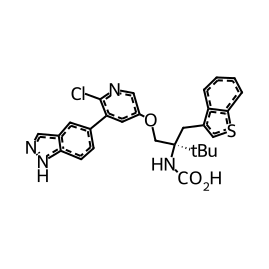 CC(C)(C)[C@](COc1cnc(Cl)c(-c2ccc3[nH]ncc3c2)c1)(Cc1csc2ccccc12)NC(=O)O